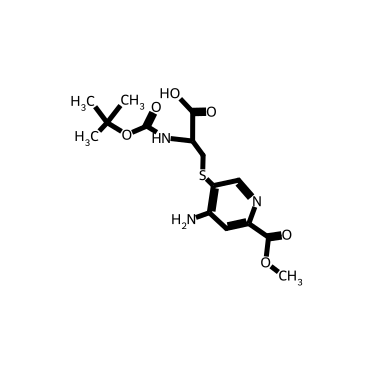 COC(=O)c1cc(N)c(SCC(NC(=O)OC(C)(C)C)C(=O)O)cn1